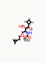 CC(C)(C)OC(=O)NC(COCCC1CC1)C(O)C(=O)C1CCC1